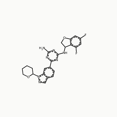 Nc1nc(NC2COc3cc(F)cc(F)c32)nc(-c2ccc3cnn(C4CCCCO4)c3c2)n1